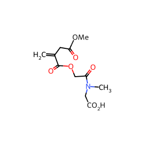 C=C(CC(=O)OC)C(=O)OCC(=O)N(C)CC(=O)O